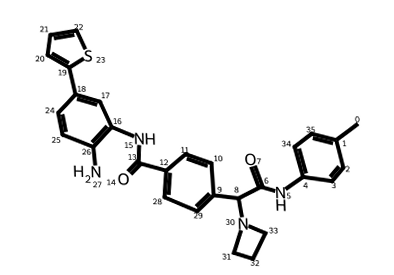 Cc1ccc(NC(=O)C(c2ccc(C(=O)Nc3cc(-c4cccs4)ccc3N)cc2)N2CCC2)cc1